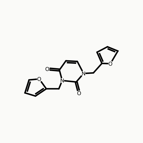 O=c1ccn(Cc2ccco2)c(=O)n1Cc1ccco1